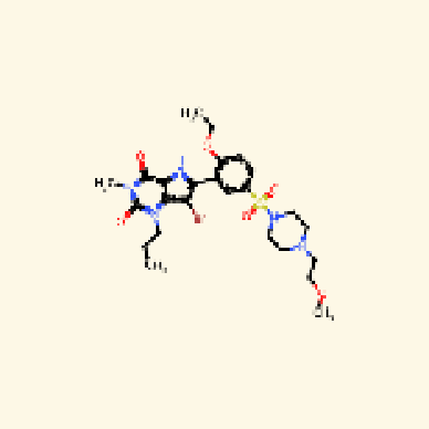 CCCn1c(=O)n(C)c(=O)c2[nH]c(-c3cc(S(=O)(=O)N4CCN(CCOC)CC4)ccc3OCC)c(Br)c21